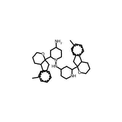 CCCCCC1(C2CC(NN3CCC(N)CC3C3(CCCCC)OCCCC3c3ccccc3)CCN2)OCCCC1c1ccccc1